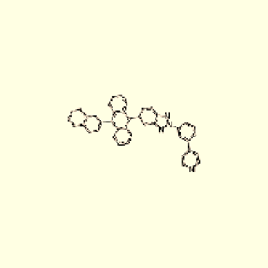 c1cc(-c2ccncc2)cc(-n2nc3ccc(-c4c5ccccc5c(-c5ccc6ccccc6c5)c5ccccc45)cc3n2)c1